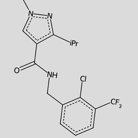 CC(C)c1nn(C)cc1C(=O)NCc1cccc(C(F)(F)F)c1Cl